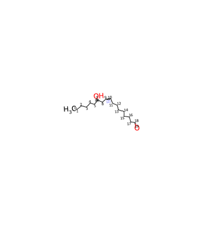 CCCCCC[C@@H](O)C/C=C\CCCCCCCC=O